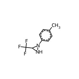 Cc1ccc(N2NC2C(F)(F)F)cc1